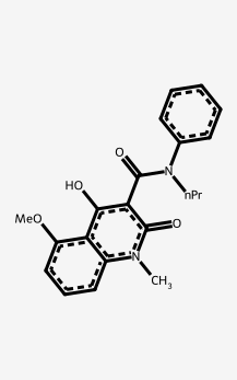 CCCN(C(=O)c1c(O)c2c(OC)cccc2n(C)c1=O)c1ccccc1